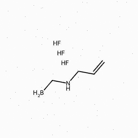 BCNCC=C.F.F.F